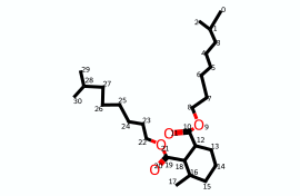 CC(C)CCCCCCOC(=O)C1CCCC(C)C1C(=O)OCCCCCCC(C)C